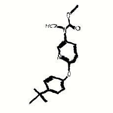 COC(=O)N(O)c1ccc(Oc2ccc(C(C)(C)C)cc2)nc1